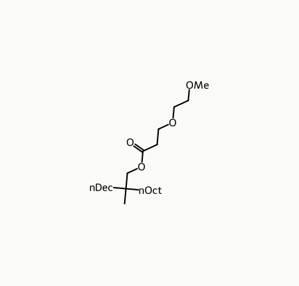 CCCCCCCCCCC(C)(CCCCCCCC)COC(=O)CCOCCOC